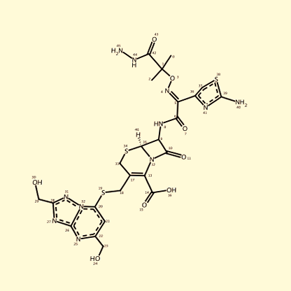 CC(C)(ON=C(C(=O)NC1C(=O)N2C(C(=O)O)=C(CSc3cc(CO)nc4nc(CO)nn34)CS[C@@H]12)c1csc(N)n1)C(=O)NN